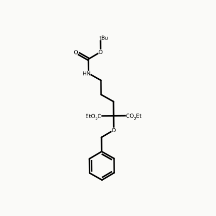 CCOC(=O)C(CCCNC(=O)OC(C)(C)C)(OCc1ccccc1)C(=O)OCC